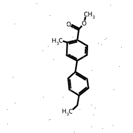 CCc1ccc(-c2ccc(C(=O)OC)c(C)c2)cc1